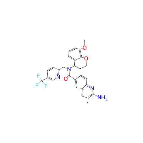 COc1cccc2c1OCCC2N(Cc1ccc(C(F)(F)F)cn1)C(=O)c1ccc2nc(N)c(C)cc2c1